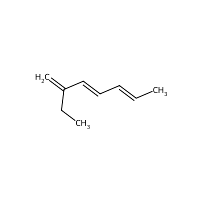 C=C(C=CC=CC)CC